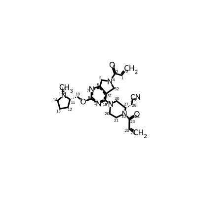 C=CC(=O)N1Cc2nc(OC[C@@H]3CCCN3C)nc(N3CCN(C(=O)C=C)[C@@H](CC#N)C3)c2C1